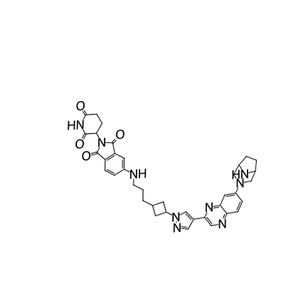 O=C1CCC(N2C(=O)c3ccc(NCCCC4CC(n5cc(-c6cnc7ccc(N8CC9CCC(C8)N9)cc7n6)cn5)C4)cc3C2=O)C(=O)N1